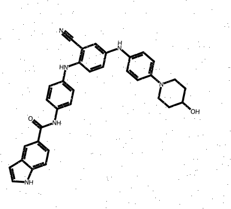 N#Cc1cc(Nc2ccc(N3CCC(O)CC3)cc2)ccc1Nc1ccc(NC(=O)c2ccc3[nH]ccc3c2)cc1